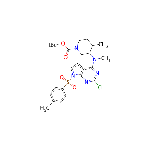 Cc1ccc(S(=O)(=O)n2ccc3c(N(C)C4CN(C(=O)OC(C)(C)C)CCC4C)nc(Cl)nc32)cc1